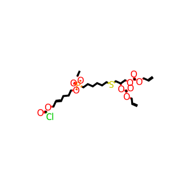 C=CCOC(=O)OCC(CSCCCCCCP(=O)(OCC)OCCC/C=C/COC(=O)Cl)OC(=O)OCC=C